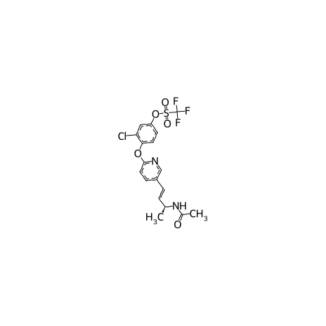 CC(=O)N[C@@H](C)/C=C/c1ccc(Oc2ccc(OS(=O)(=O)C(F)(F)F)cc2Cl)nc1